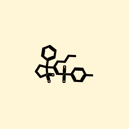 CCCCC(=CS(=O)(=O)c1ccc(C)cc1)C1(c2ccccc2)CCCS1(=O)=O